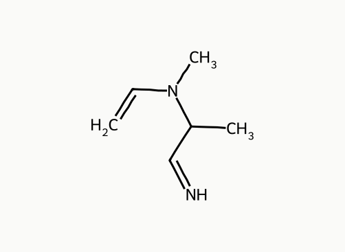 C=CN(C)C(C)C=N